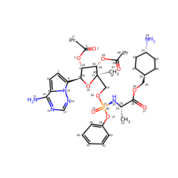 CC(C)C(=O)O[C@H]1[C@H](c2ccc3c(N)ncnn23)O[C@](C)(CO[P@](=O)(N[C@@H](C)C(=O)OC[C@H]2CC[C@H](N)CC2)Oc2ccccc2)[C@H]1OC(=O)C(C)C